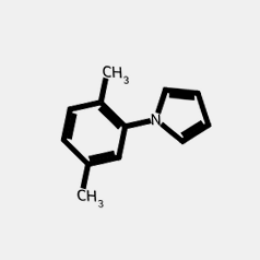 Cc1ccc(C)c(-n2cccc2)c1